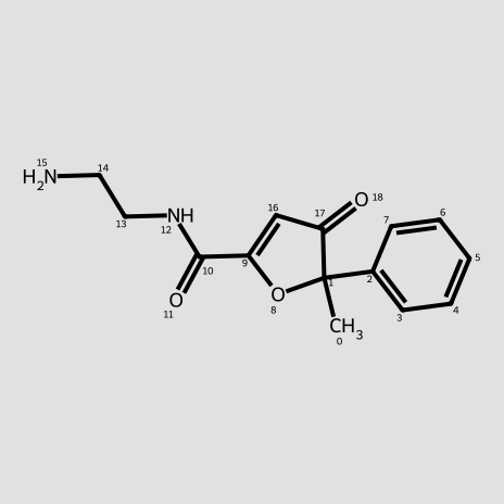 CC1(c2ccccc2)OC(C(=O)NCCN)=CC1=O